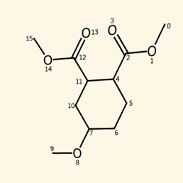 COC(=O)C1CCC(OC)CC1C(=O)OC